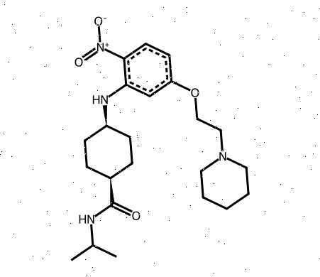 CC(C)NC(=O)[C@H]1CC[C@@H](Nc2cc(OCCN3CCCCC3)ccc2[N+](=O)[O-])CC1